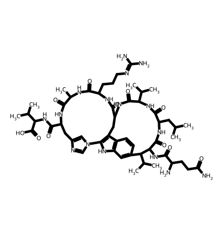 CC(C)CC1NC(=O)C(NC(=O)C(N)CCC(N)=O)C(C(C)C)c2ccc3c4c([nH]c3c2)-n2cnc(c2)CC(C(=O)NC(C(=O)O)C(C)C)NC(=O)C(C)NC(=O)C(CCCN=C(N)N)NC(=O)C(C4)NC(=O)C(C(C)C)NC1=O